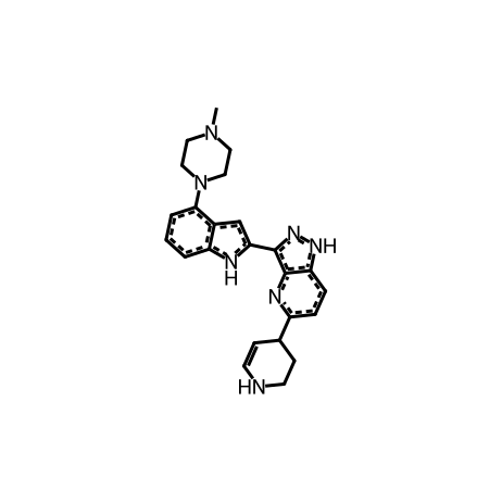 CN1CCN(c2cccc3[nH]c(-c4n[nH]c5ccc(C6C=CNCC6)nc45)cc23)CC1